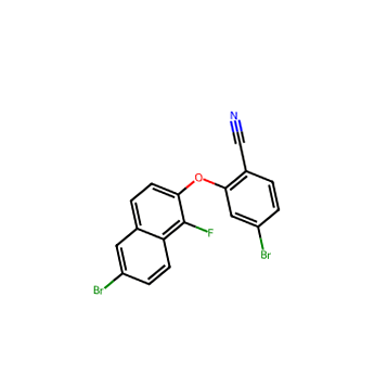 N#Cc1ccc(Br)cc1Oc1ccc2cc(Br)ccc2c1F